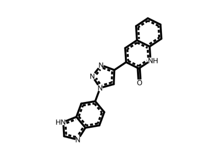 O=c1[nH]c2ccccc2cc1-c1cn(-c2ccc3nc[nH]c3c2)nn1